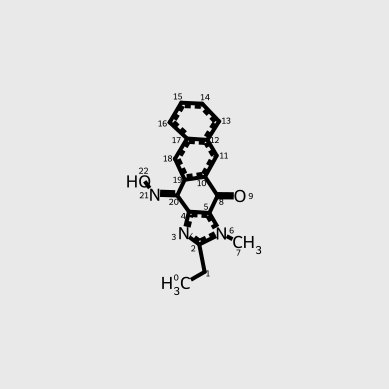 CCc1nc2c(n1C)C(=O)c1cc3ccccc3cc1/C2=N\O